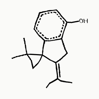 CC(C)=C1Cc2c(O)cccc2C12CC2(C)C